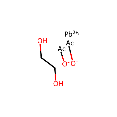 CC(=O)[O-].CC(=O)[O-].OCCO.[Pb+2]